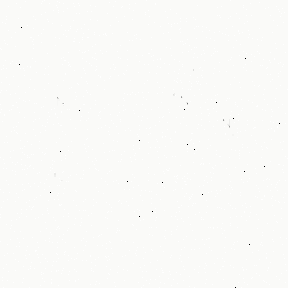 CC(CCN(C)N)C(O)C(N)=O